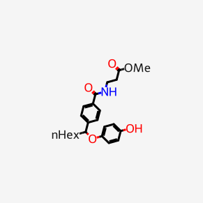 CCCCCCC(Oc1ccc(O)cc1)c1ccc(C(=O)NCCC(=O)OC)cc1